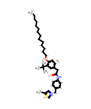 CCCCCCCCCCCCCCOc1ccc(CC(=O)Nc2ccc(C[n+]3csc(C)c3)cc2)cc1C(C)(C)C.[Br-]